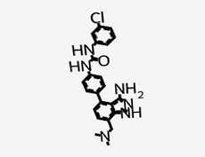 CN(C)Cc1ccc(-c2ccc(NC(=O)Nc3cccc(Cl)c3)cc2)c2c(N)n[nH]c12